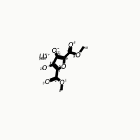 COC(=O)c1oc(C(=O)OC)c([O-])c1[O-].[Li+].[Li+]